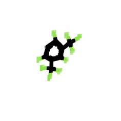 Fc1[c]c(F)c(C(F)(F)F)c(F)c1C(F)(F)F